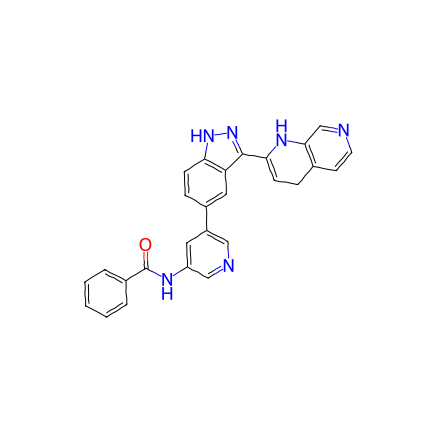 O=C(Nc1cncc(-c2ccc3[nH]nc(C4=CCc5ccncc5N4)c3c2)c1)c1ccccc1